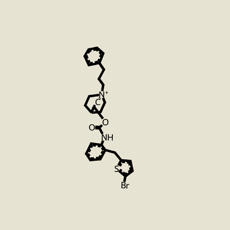 O=C(Nc1ccccc1Cc1ccc(Br)s1)OC1C[N+]2(CCCc3ccccc3)CCC1CC2